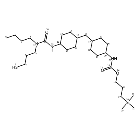 CCCCN(CCCS)C(=O)NC1CCC(CC2CCC(NC(=O)OCCC[Si](C)(C)C)CC2)CC1